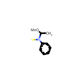 COC(C)N([S])c1ccccc1